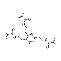 C=C(C)C(=O)OCCc1cnc(CCOC(=O)C(=C)C)c(CCOC(=O)C(=C)C)n1